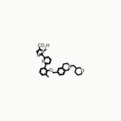 Cc1cccc(-c2cccc(-c3ncc(C(=O)O)n3C)n2)c1OCc1ccc2c(c1)CCN(CC1CCCOC1)C2